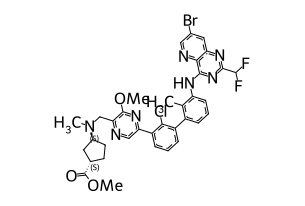 COC(=O)[C@H]1CC[C@H](N(C)Cc2ncc(-c3cccc(-c4cccc(Nc5nc(C(F)F)nc6cc(Br)cnc56)c4C)c3Cl)nc2OC)C1